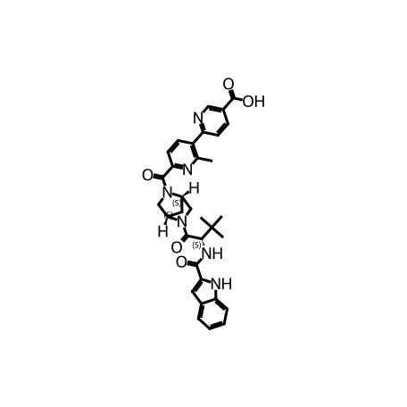 Cc1nc(C(=O)N2C[C@@H]3C[C@H]2CN3C(=O)[C@@H](NC(=O)c2cc3ccccc3[nH]2)C(C)(C)C)ccc1-c1ccc(C(=O)O)cn1